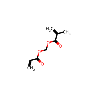 C=CC(=O)OCOC(=O)C(=C)C